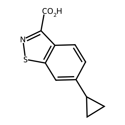 O=C(O)c1nsc2cc(C3CC3)ccc12